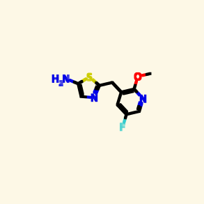 COc1ncc(F)cc1Cc1ncc(N)s1